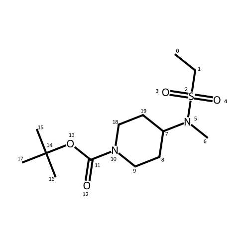 CCS(=O)(=O)N(C)C1CCN(C(=O)OC(C)(C)C)CC1